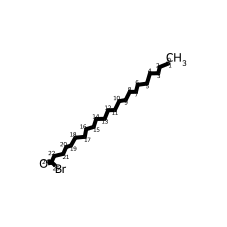 CCCCCCCCCCCCCCCCCCCCCCCC(=O)Br